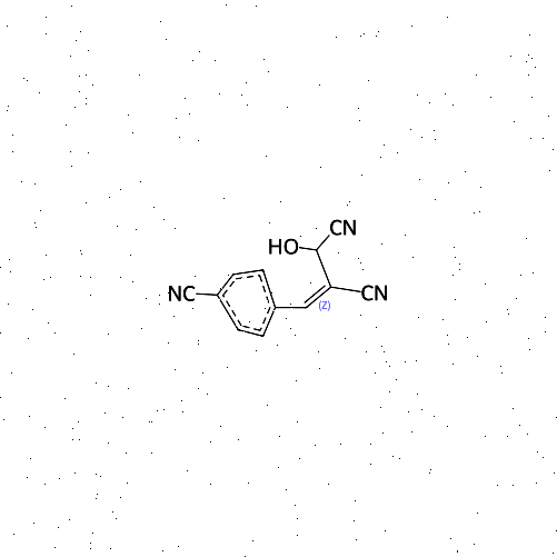 N#C/C(=C/c1ccc(C#N)cc1)C(O)C#N